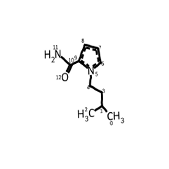 CC(C)CCn1cccc1C(N)=O